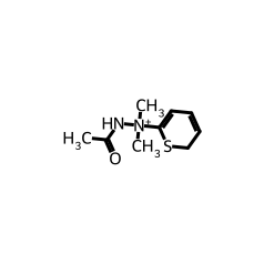 CC(=O)N[N+](C)(C)C1=CC=CCS1